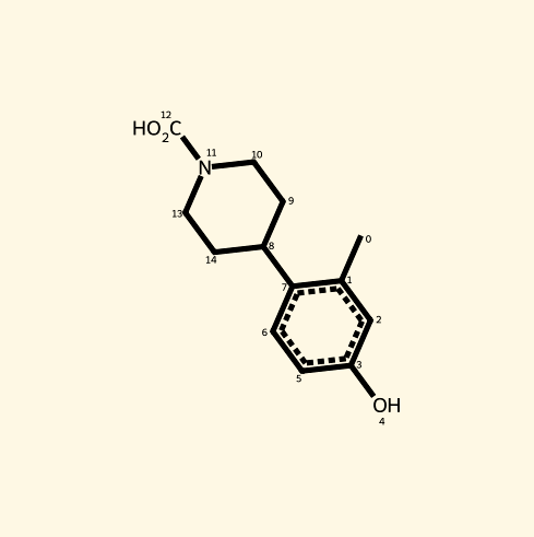 Cc1cc(O)ccc1C1CCN(C(=O)O)CC1